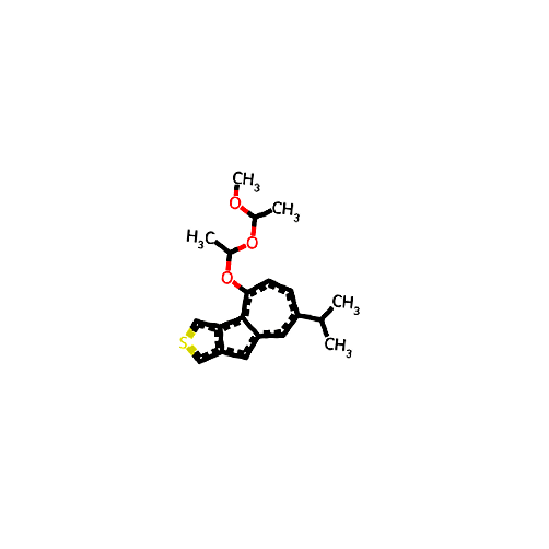 COC(C)OC(C)Oc1ccc(C(C)C)cc2cc3cscc3c1-2